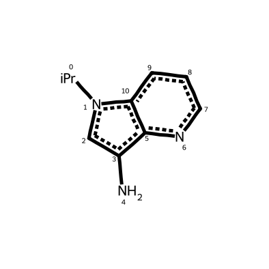 CC(C)n1cc(N)c2ncccc21